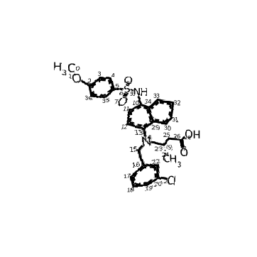 COc1ccc(S(=O)(=O)Nc2ccc(N(Cc3cccc(Cl)c3)[C@@H](C)CC(=O)O)c3ccccc23)cc1